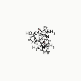 CC[C@@H](N(C)c1nc2c(c(N[C@@H](CN3C4CCCC3CC4)c3sc(C)nc3C)n1)C[C@H](c1cccc(F)c1)CC2)C12CC(C(=O)O)(C1)C2